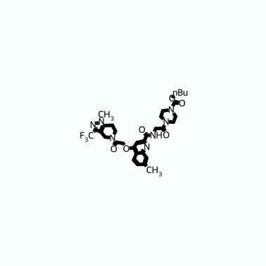 CCCCOC(=O)N1CCN(C(=O)CNC(=O)c2cc(OCC(=O)N3CCc4c(c(C(F)(F)F)nn4C)C3)c3ccc(C)cc3n2)CC1